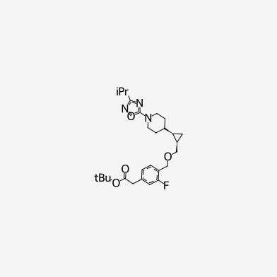 CC(C)c1noc(N2CCC([C@H]3C[C@H]3COCc3ccc(CC(=O)OC(C)(C)C)cc3F)CC2)n1